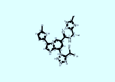 Cc1noc([C@H](C)NC(=O)c2cc(-n3nnnc3C(F)F)c3ncc(-c4ccc(C)s4)n3c2)n1